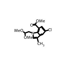 COC(=O)c1cc(Cl)cc2c(C)cn(CC(OC)OC)c12